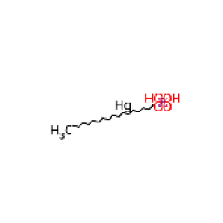 CCCCCCCCCCCCCCCCCCOP(=O)(O)O.[Hg]